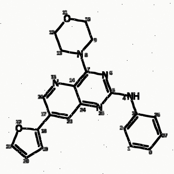 c1ccc(Nc2nc(N3CCOCC3)c3ncc(-c4ccco4)cc3n2)cc1